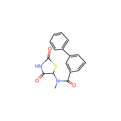 CN(C(=O)c1cccc(-c2ccccc2)c1)C1SC(=O)NC1=O